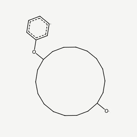 [O]C1CCCCCCCCC(Oc2c[c]ccc2)CCCCCCCC1